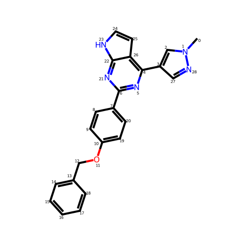 Cn1cc(-c2nc(-c3ccc(OCc4ccccc4)cc3)nc3[nH]ccc23)cn1